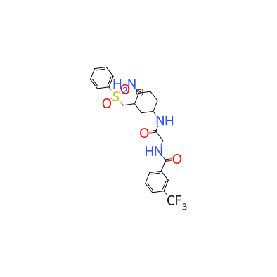 N[C@H]1CCC(NC(=O)CNC(=O)c2cccc(C(F)(F)F)c2)CC1CS(=O)(=O)c1ccccc1